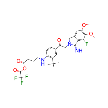 COc1cc2c(c(F)c1OC)C(=N)N(CC(=O)c1ccc(NCCCC(=O)OC(=O)C(F)(F)F)c(C(C)(C)C)c1)C2